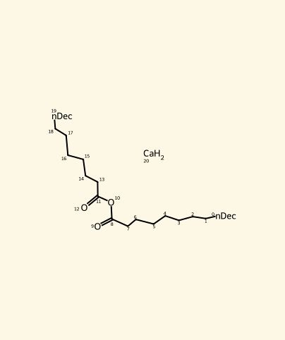 CCCCCCCCCCCCCCCCCC(=O)OC(=O)CCCCCCCCCCCCCCCC.[CaH2]